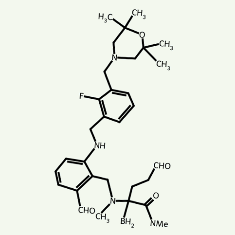 BC(CCC=O)(C(=O)NC)N(C)Cc1c(C=O)cccc1NCc1cccc(CN2CC(C)(C)OC(C)(C)C2)c1F